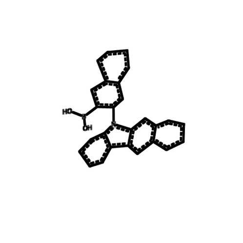 OB(O)c1cc2ccccc2cc1-n1c2ccccc2c2cc3ccccc3cc21